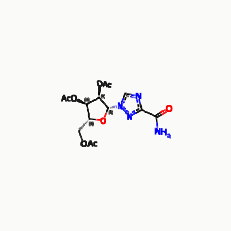 CC(=O)OC[C@H]1O[C@@H](n2cnc(C(N)=O)n2)[C@H](OC(C)=O)[C@@H]1OC(C)=O